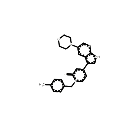 Cc1ccc(Cn2ccc(-c3c[nH]c4ncc(N5CCOCC5)cc34)cc2=O)cc1